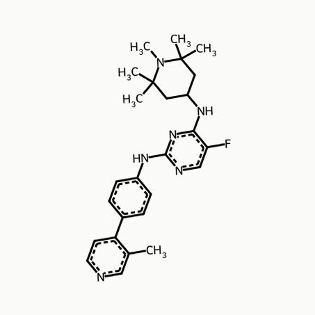 Cc1cnccc1-c1ccc(Nc2ncc(F)c(NC3CC(C)(C)N(C)C(C)(C)C3)n2)cc1